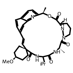 CO[C@H]1CC[C@]2(/C=C/c3ccc4ccc(nc4c3)[C@@H](C)OC(=O)[C@@H]3CCCN(N3)C(=O)[C@H](C)NC(=O)C(C(C)C)NC2=O)CC1